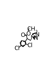 CCOC(=O)C(Cn1ccnn1)c1ccc(Cl)cc1Cl